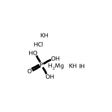 Cl.I.O=P(O)(O)O.[KH].[KH].[MgH2]